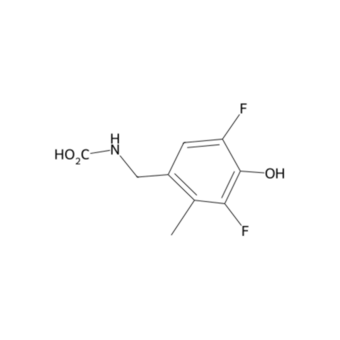 Cc1c(CNC(=O)O)cc(F)c(O)c1F